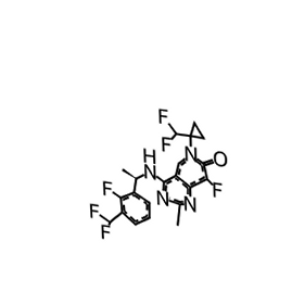 Cc1nc(N[C@H](C)c2cccc(C(F)F)c2F)c2cn(C3(C(F)F)CC3)c(=O)c(F)c2n1